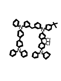 CC(C)(C)c1ccc(N(c2cccc(Cc3cccc(N(c4ccccc4)c4ccc(-c5ccc(N(c6ccccc6)c6ccccc6)cc5)cc4)c3)c2)c2ccc(-c3ccc(N(c4ccccc4)c4ccccc4)cc3Cl)c(Cl)c2)cc1